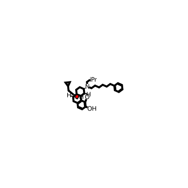 CC(C)CN(CCCCCCc1ccccc1)[C@H]1CC[C@@]2(O)[C@H]3Cc4ccc(O)c5c4[C@@]2(CCN3CC2CC2)[C@H]1O5